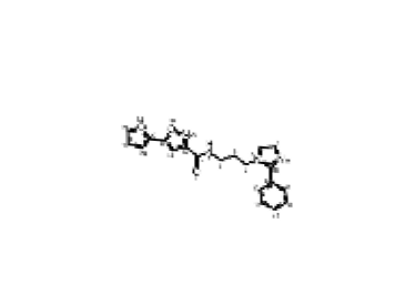 O=C(NCCCn1ccnc1-c1ccccc1)c1cc(-c2ccco2)on1